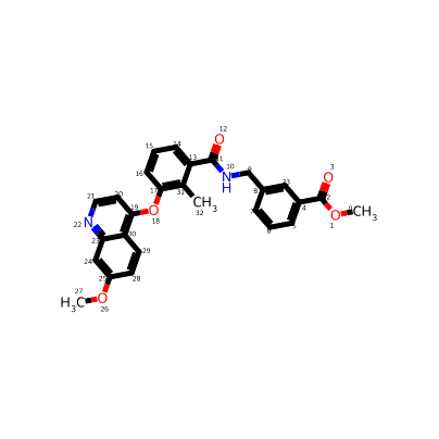 COC(=O)c1cccc(CNC(=O)c2cccc(Oc3ccnc4cc(OC)ccc34)c2C)c1